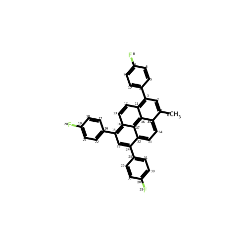 Cc1cc(-c2ccc(F)cc2)c2ccc3c(-c4ccc(F)cc4)cc(-c4ccc(F)cc4)c4ccc1c2c43